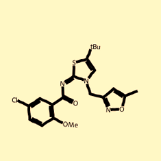 COc1ccc(Cl)cc1C(=O)N=c1sc(C(C)(C)C)cn1Cc1cc(C)on1